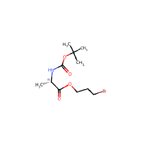 C[C@H](NC(=O)OC(C)(C)C)C(=O)OCCCBr